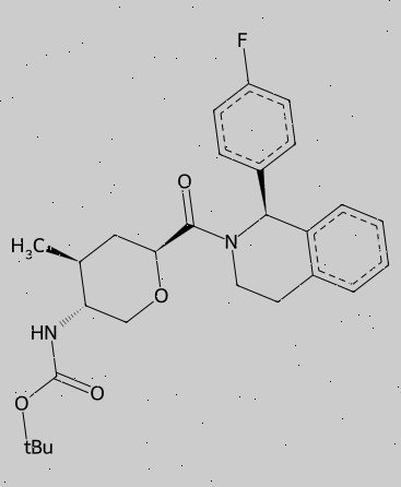 C[C@H]1C[C@@H](C(=O)N2CCc3ccccc3[C@@H]2c2ccc(F)cc2)OC[C@@H]1NC(=O)OC(C)(C)C